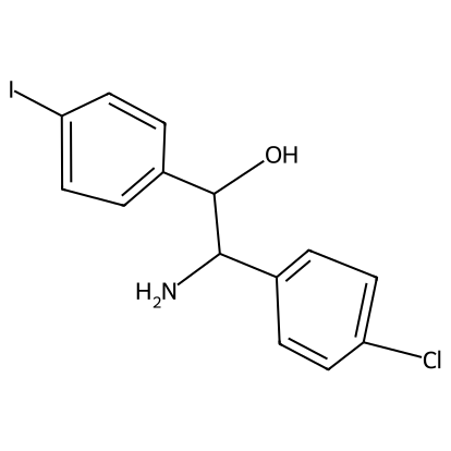 NC(c1ccc(Cl)cc1)C(O)c1ccc(I)cc1